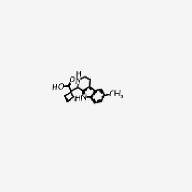 Cc1ccc2[nH]c3c(c2c1)CCNC3C1(C(=O)O)CCC1